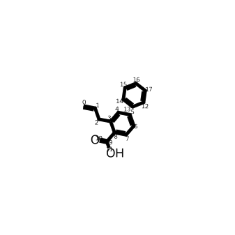 C=CCc1ccccc1C(=O)O.c1ccccc1